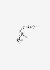 CCCC(C(=O)NC=O)c1ccc(N2CCC(C(=O)N3CC4C(C3)C4C(=O)N3CCC4(CC3)C(=O)N(C3CC(N5CCCCC5)C3)c3cc(-c5cc6ncn(C(C)C)c6c(NC6CC6)n5)ccc34)CC2)nc1